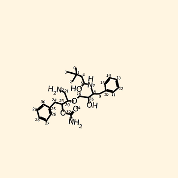 CC(C)(C)CC(O)NC(Cc1ccccc1)C(O)COC(CN)C(Cc1ccccc1)OC(N)=O